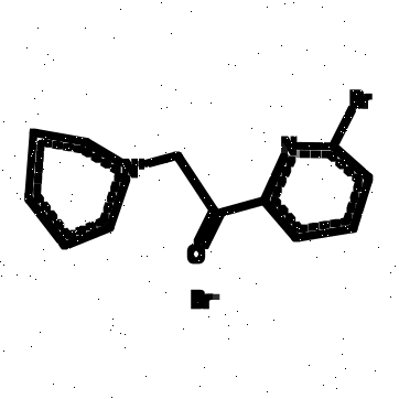 O=C(C[n+]1ccccc1)c1cccc(Br)n1.[Br-]